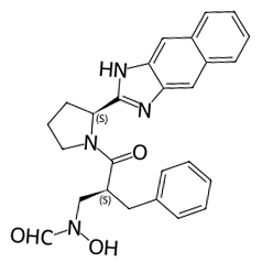 O=CN(O)C[C@H](Cc1ccccc1)C(=O)N1CCC[C@H]1c1nc2cc3ccccc3cc2[nH]1